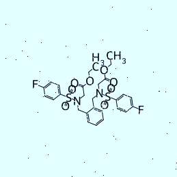 CCOC(=O)CN(Cc1ccccc1CN(CC(=O)OCC)S(=O)(=O)c1ccc(F)cc1)S(=O)(=O)c1ccc(F)cc1